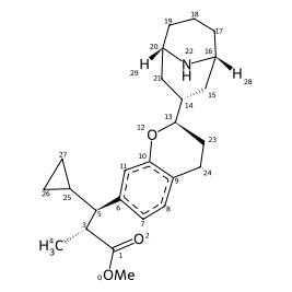 COC(=O)[C@H](C)[C@H](c1ccc2c(c1)O[C@@H]([C@H]1C[C@H]3CCC[C@@H](C1)N3)CC2)C1CC1